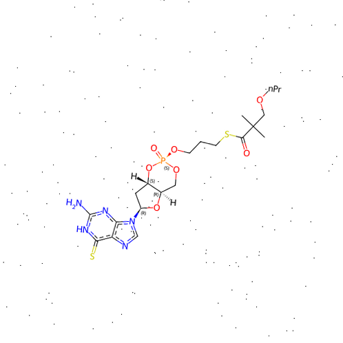 CCCOCC(C)(C)C(=O)SCCCO[P@@]1(=O)OC[C@H]2O[C@@H](n3cnc4c(=S)[nH]c(N)nc43)C[C@@H]2O1